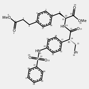 COC(=O)CCc1ccc(C[C@H](NC(=O)[C@H](CC(C)C)c2ccc(NS(=O)(=O)c3ccccc3)cc2)C(=O)OC)cc1